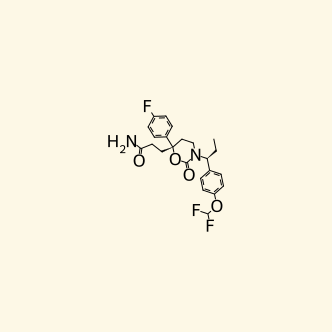 CC[C@@H](c1ccc(OC(F)F)cc1)N1CC[C@@](CCC(N)=O)(c2ccc(F)cc2)OC1=O